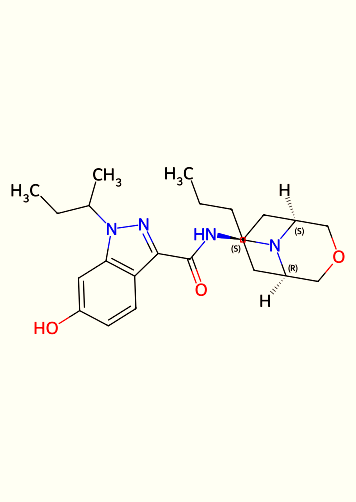 CCCCN1[C@@H]2COC[C@H]1C[C@@H](NC(=O)c1nn(C(C)CC)c3cc(O)ccc13)C2